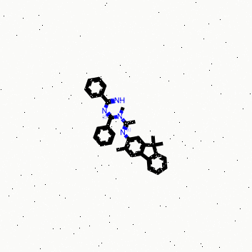 C/C(=N\c1cc2c(cc1C)-c1ccccc1C2(C)C)N(C)/C(=N\C(=N)c1ccccc1)c1ccccc1